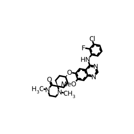 COc1cc2ncnc(Nc3cccc(Cl)c3F)c2cc1O[C@H]1CC[C@]2(CC1)C(=O)N(C)CCN2C